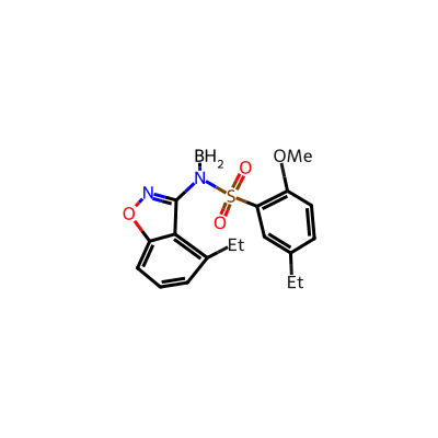 BN(c1noc2cccc(CC)c12)S(=O)(=O)c1cc(CC)ccc1OC